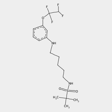 CC(C)(C)S(=O)(=O)NCCCCCNc1cccc(OC(F)(F)C(F)F)c1